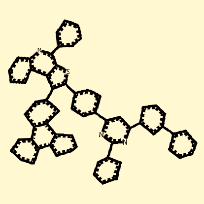 c1ccc(-c2cccc(-c3cc(-c4ccc(-c5sc6c(-c7ccccc7)nc7ccccc7c6c5-c5ccc6c7ccccc7c7ccccc7c6c5)cc4)nc(-c4ccccc4)n3)c2)cc1